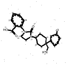 NCC1(c2cccc(Cl)c2)CCC(N2CCN(c3ccccc3C(=O)O)C2=O)CC1